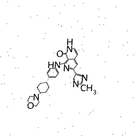 Cc1ncc(-c2cc3cc[nH]c(=O)c3c(Nc3ccc([C@H]4CC[C@@H](N5CCOCC5)CC4)cc3)n2)cn1